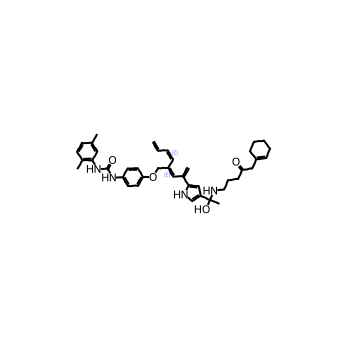 C=C/C=C\C(=C/C(=C)c1cc(C(C)(O)NCCCC(=O)CC2=CCCCC2)c[nH]1)COc1ccc(NC(=O)Nc2cc(C)ccc2C)cc1